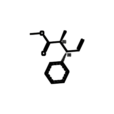 C=C[C@H](c1ccccc1)[C@H](C)C(=O)OC